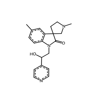 Cc1ccc2c(c1)C1(CCN(C)C1)C(=O)N2CC(O)c1ccncc1